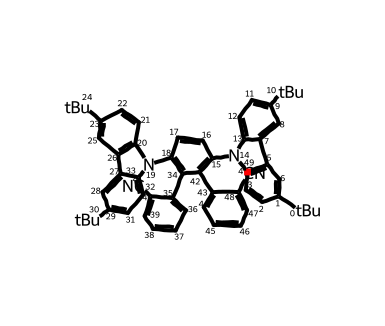 CC(C)(C)c1ccc2c(c1)c1cc(C(C)(C)C)ccc1n2-c1ccc(-n2c3ccc(C(C)(C)C)cc3c3cc(C(C)(C)C)ccc32)c(-c2ccccc2C#N)c1-c1ccccc1C#N